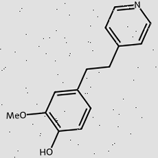 COc1cc(CCc2ccncc2)ccc1O